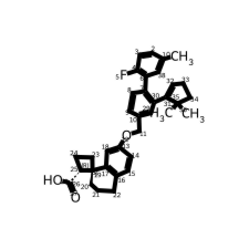 Cc1ccc(F)c(-c2ccc(COc3ccc4c(c3)[C@@]3(CCC4)CC[C@H]3C(=O)O)cc2C2=CCCC2(C)C)c1